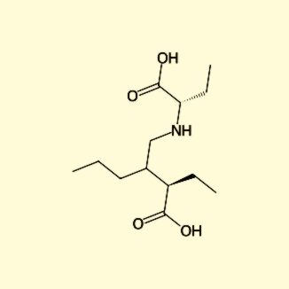 CCCC(CN[C@@H](CC)C(=O)O)[C@@H](CC)C(=O)O